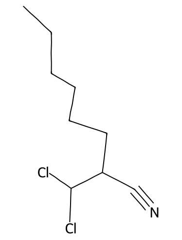 CCCCCCC(C#N)C(Cl)Cl